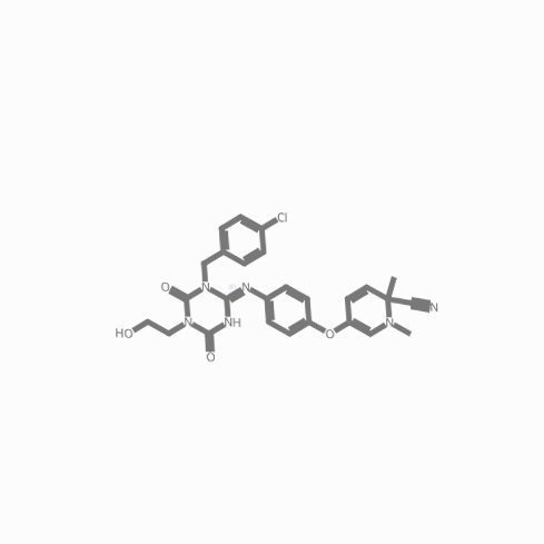 CN1C=C(Oc2ccc(/N=c3\[nH]c(=O)n(CCO)c(=O)n3Cc3ccc(Cl)cc3)cc2)C=CC1(C)C#N